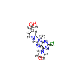 CC(C)n1c(CN2CCC(C(C)(C)O)CC2)nc2c(N3CCOCC3)nc(Cl)nc21